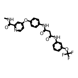 CNC(=O)c1cc(Oc2ccc(NC(=O)CC(=O)Nc3cccc(OC(F)(F)F)c3)cc2)ccn1